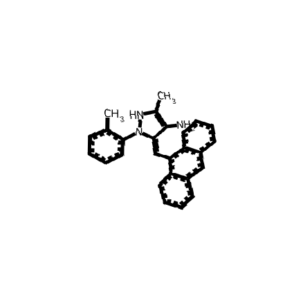 CC1=C(N)C(=Cc2c3ccccc3cc3ccccc23)N(c2ccccc2C)N1